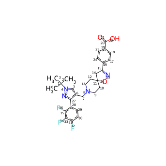 CC(C)(C)n1cc(CN2CCC3(CC2)CC(c2ccc(C(=O)O)cc2)=NO3)c(-c2ccc(F)c(F)c2F)n1